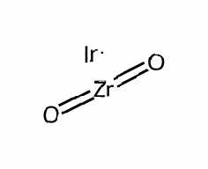 [Ir].[O]=[Zr]=[O]